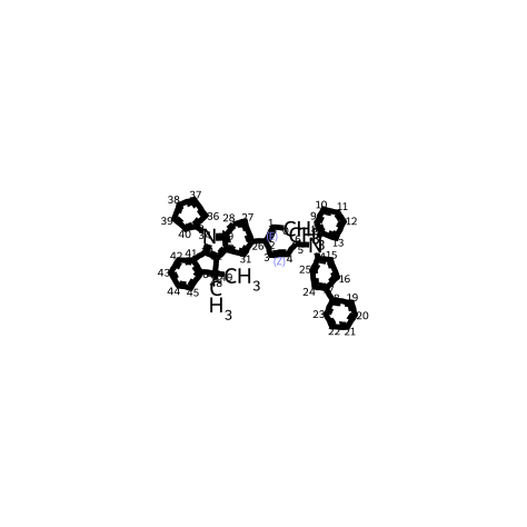 C/C=C(\C=C/C(C)N(c1ccccc1)c1ccc(-c2ccccc2)cc1)c1ccc2c(c1)c1c(n2-c2ccccc2)-c2ccccc2C1(C)C